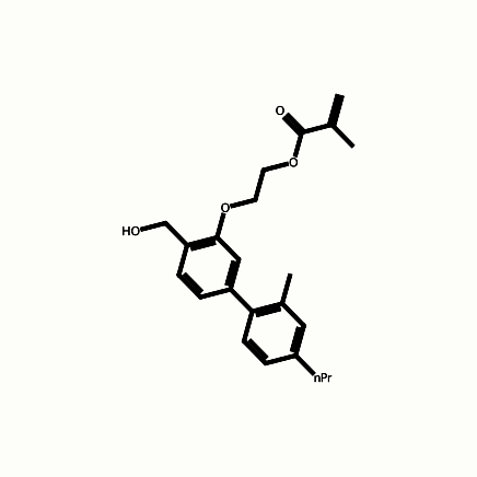 C=C(C)C(=O)OCCOc1cc(-c2ccc(CCC)cc2C)ccc1CO